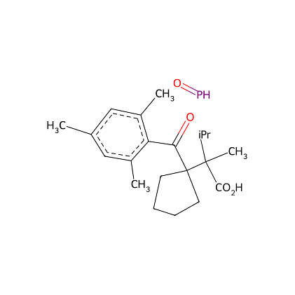 Cc1cc(C)c(C(=O)C2(C(C)(C(=O)O)C(C)C)CCCC2)c(C)c1.O=P